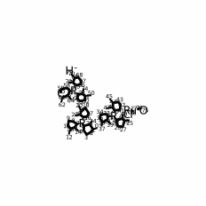 Cc1cccc(P(c2cccc(C)c2C)c2cccc(C)c2C)c1C.Cc1cccc(P(c2cccc(C)c2C)c2cccc(C)c2C)c1C.Cc1cccc(P(c2cccc(C)c2C)c2cccc(C)c2C)c1C.O=[C]=[Ru+][Cl].[H-]